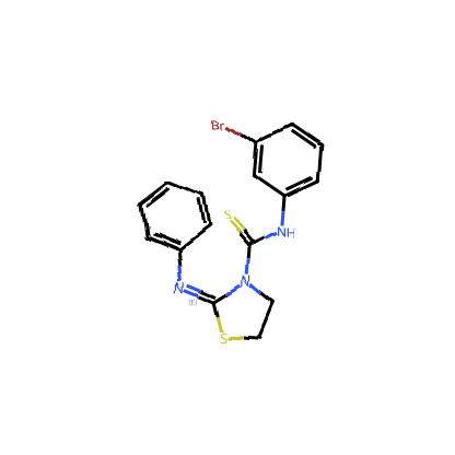 S=C(Nc1cccc(Br)c1)N1CCS/C1=N/c1ccccc1